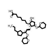 CCCC1CCC([C@@H](C=C[C@@H]2[C@@H](CCCCCCC(=O)O)[C@@H](O)C[C@H]2OC2CCCCO2)OC2CCCCO2)C1